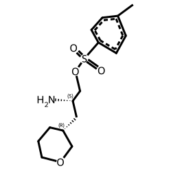 Cc1ccc(S(=O)(=O)OC[C@@H](N)C[C@H]2CCCOC2)cc1